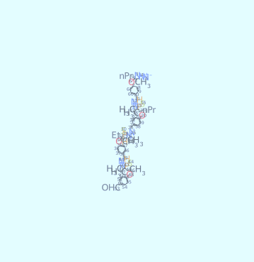 CCCC(C)(N=[N+]=[N-])Oc1ccc(/C=N/N(C)[PH](=S)C(C)(CCC)Oc2ccc(/C=N/N(C)[PH](=S)C(C)(CC)Oc3ccc(/C=N/N(C)[PH](=S)C(C)(C)Oc4ccc(C=O)cc4)cc3)cc2)cc1